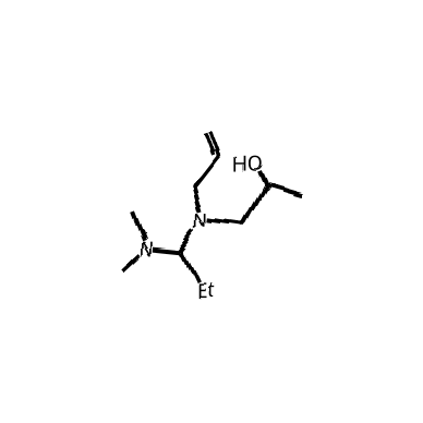 C=CCN(CC(C)O)C(CC)N(C)C